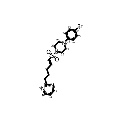 O=S(=O)(/C=C/CCCc1ncccn1)N1CCN(c2ccc(Br)cc2)CC1